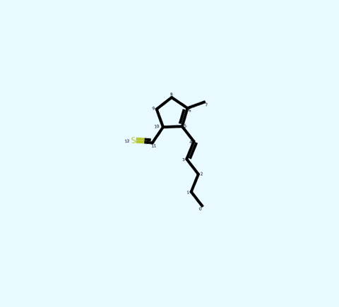 CCCC=CC1=C(C)CCC1C=S